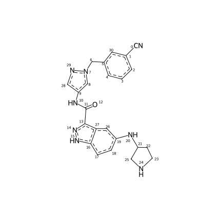 N#Cc1cccc(Cn2cc(NC(=O)c3n[nH]c4ccc(NC5CCNC5)cc34)cn2)c1